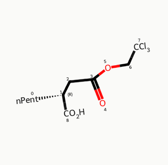 CCCCC[C@H](CC(=O)OCC(Cl)(Cl)Cl)C(=O)O